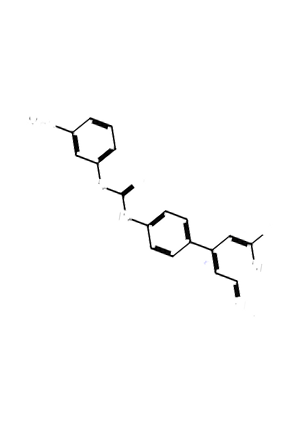 C=C/C=C(\C=C(\C)N)c1ccc(NC(=O)Nc2cccc(SC)c2)cc1